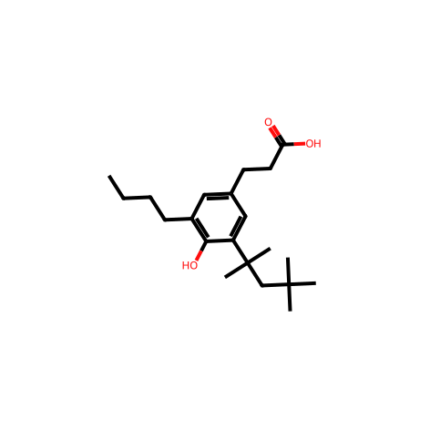 CCCCc1cc(CCC(=O)O)cc(C(C)(C)CC(C)(C)C)c1O